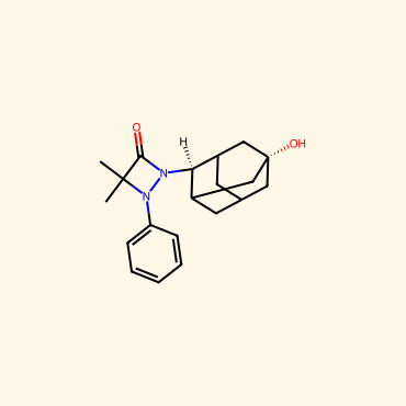 CC1(C)C(=O)N([C@H]2C3CC4CC2C[C@](O)(C4)C3)N1c1ccccc1